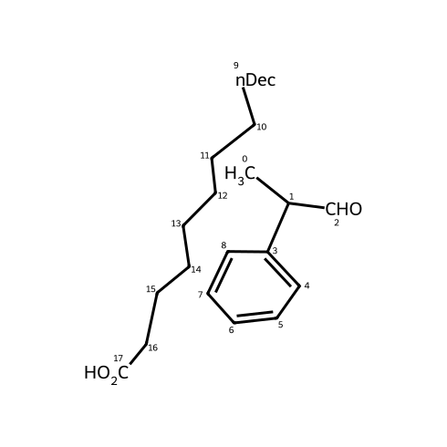 CC(C=O)c1ccccc1.CCCCCCCCCCCCCCCCCC(=O)O